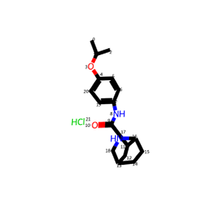 CC(C)Oc1ccc(NC(=O)C2CC3CCC2NC3)cc1.Cl